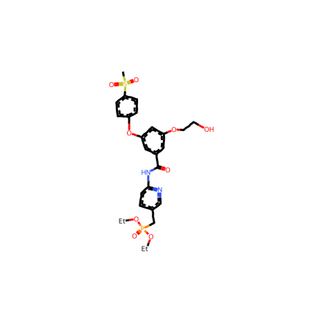 CCOP(=O)(Cc1ccc(NC(=O)c2cc(OCCO)cc(Oc3ccc(S(C)(=O)=O)cc3)c2)nc1)OCC